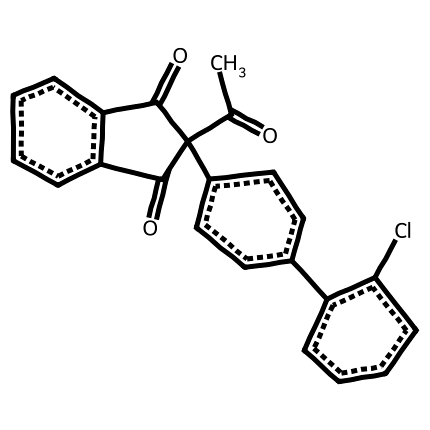 CC(=O)C1(c2ccc(-c3ccccc3Cl)cc2)C(=O)c2ccccc2C1=O